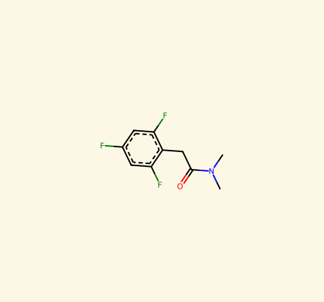 CN(C)C(=O)Cc1c(F)cc(F)cc1F